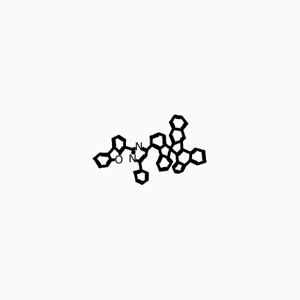 c1ccc(-c2cc(-c3cccc4c3-c3ccccc3C43c4cc5ccccc5cc4-c4c3c3ccccc3c3ccccc43)nc(-c3cccc4c3oc3ccccc34)n2)cc1